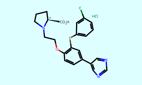 Cl.O=C(O)[C@@H]1CCCN1CCOc1ccc(-c2cncnc2)cc1Sc1cccc(F)c1